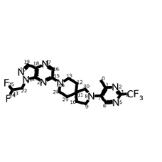 Cc1nc(C(F)(F)F)ncc1N1CCC2(CCN(c3cnc4cnn(CC(F)F)c4n3)CC2)C1